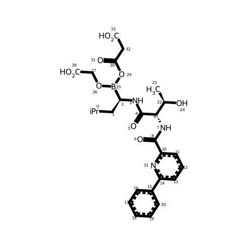 CC(C)C[C@H](NC(=O)[C@@H](NC(=O)c1cccc(-c2ccccc2)n1)[C@@H](C)O)B(OCC(=O)O)OC(=O)CC(=O)O